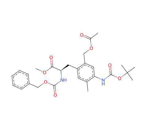 COC(=O)[C@@H](Cc1cc(C)c(NC(=O)OC(C)(C)C)cc1COC(C)=O)NC(=O)OCc1ccccc1